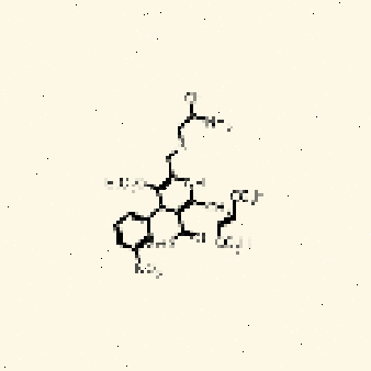 CCOC(=O)C1=C(CSCC(C)N)NC(C)=C(C(=O)OC)C1c1cccc([N+](=O)[O-])c1.O=C(O)C=CC(=O)O